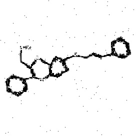 CC(=O)NCC1=C(c2ccccc2)Oc2ccc(SC/C=C/c3ccccc3)cc2O1